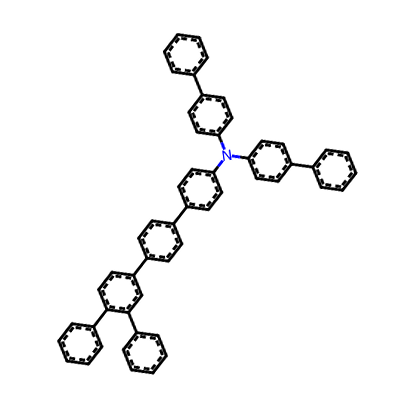 c1ccc(-c2ccc(N(c3ccc(-c4ccccc4)cc3)c3ccc(-c4ccc(-c5ccc(-c6ccccc6)c(-c6ccccc6)c5)cc4)cc3)cc2)cc1